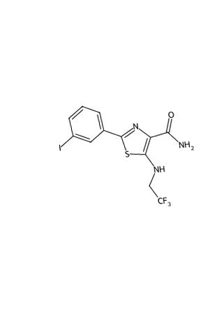 NC(=O)c1nc(-c2cccc(I)c2)sc1NCC(F)(F)F